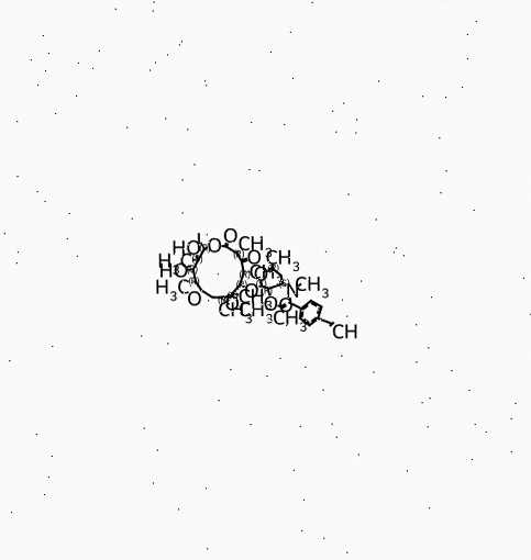 C#Cc1ccc(CN(C)[C@H]2C[C@@H](C)O[C@@H](O[C@@H]3[C@@H](C)C(=O)[C@@H](C)C(=O)O[C@H](I)[C@@](C)(O)[C@H](O)[C@@H](C)C(=O)C[C@@H](C)[C@@]3(C)OC)[C@@H]2OC(C)=O)cc1